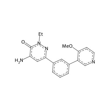 CCn1nc(-c2cccc(-c3cnccc3OC)c2)cc(N)c1=O